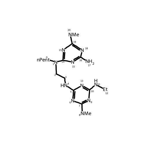 CCCCCN(CCNc1nc(NC)nc(NCC)n1)c1nc(N)nc(NC)n1